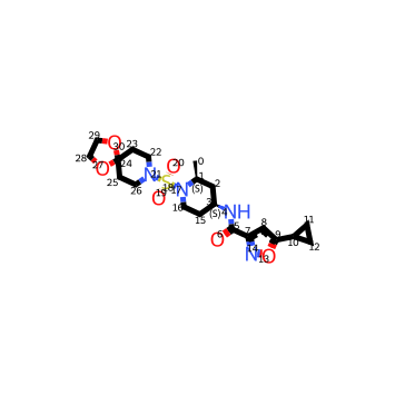 C[C@H]1C[C@@H](NC(=O)c2cc(C3CC3)on2)CCN1S(=O)(=O)N1CCC2(CC1)OCCO2